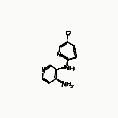 Nc1ccncc1Nc1ccc(Cl)cn1